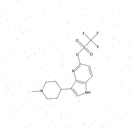 CN1CCC(c2c[nH]c3ccc(OS(=O)(=O)C(F)(F)F)nc23)CC1